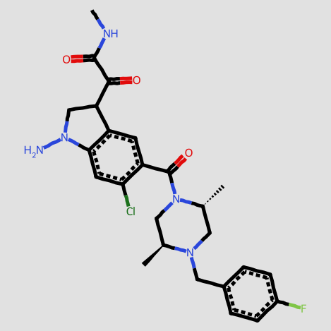 CNC(=O)C(=O)C1CN(N)c2cc(Cl)c(C(=O)N3C[C@H](C)N(Cc4ccc(F)cc4)C[C@H]3C)cc21